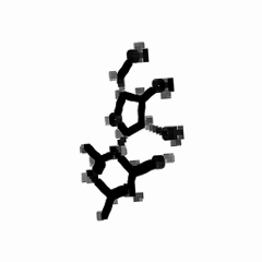 Cc1nc(C)n([C@@H]2O[C@H](CO)C(O)[C@@H]2O)c(=O)n1